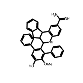 COc1c(O)cc(-c2ccccc2)c(C2Nc3ccc(C(=N)N)cc3C3c4ccccc4CC23)c1-c1ccccc1